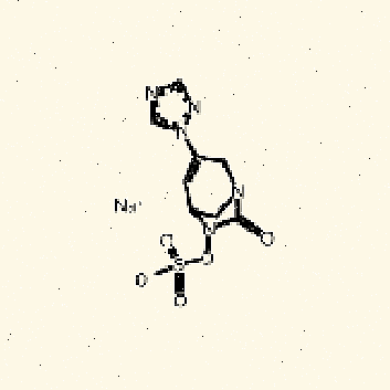 O=C1N2CC(n3cncn3)=CC(C2)N1OS(=O)(=O)[O-].[Na+]